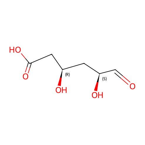 O=C[C@@H](O)C[C@@H](O)CC(=O)O